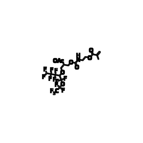 C=C(C)C(=O)OCCNC(=O)OCC(COC(C(F)(F)OC(F)(F)C(F)(F)F)C(F)(F)C(F)(F)C(F)F)OC(C)=O